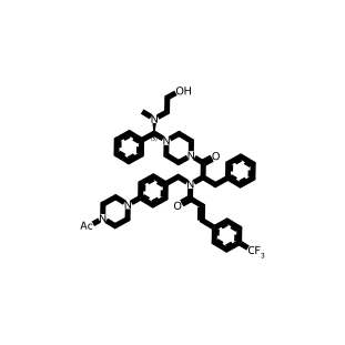 CC(=O)N1CCN(c2ccc(CN(C(=O)C=Cc3ccc(C(F)(F)F)cc3)C(Cc3ccccc3)C(=O)N3CCN([C@@H](c4ccccc4)N(C)CCO)CC3)cc2)CC1